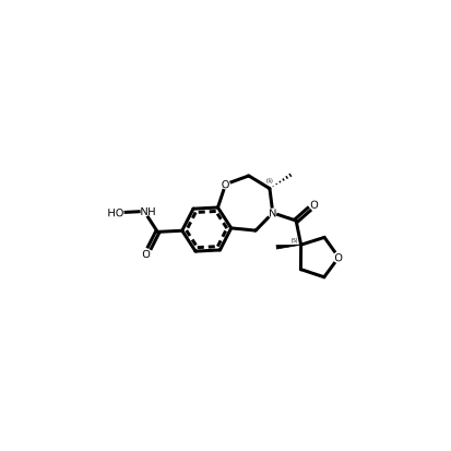 C[C@H]1COc2cc(C(=O)NO)ccc2CN1C(=O)[C@@]1(C)CCOC1